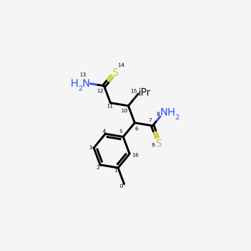 Cc1cccc(C(C(N)=S)C(CC(N)=S)C(C)C)c1